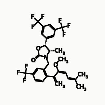 C=C(/C(=C\C=C(C)C)OC)c1ccc(C(F)(F)F)cc1CN1C(=O)O[C@H](c2cc(C(F)(F)F)cc(C(F)(F)F)c2)[C@@H]1C